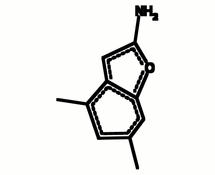 Cc1cc(C)c2cc(N)oc2c1